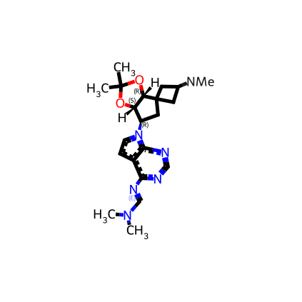 CNC1CC2(C1)C[C@@H](n1ccc3c(/N=C/N(C)C)ncnc31)[C@@H]1OC(C)(C)O[C@@H]12